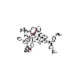 CC(C)(C)c1ccc(N2B3c4cc5c(-c6ccccc6)oc(-c6ccccc6)c5cc4N(c4ccc(C(C)(C)C)cc4-c4ccccc4)c4cc5c(c(c43)-c3cc4c(cc32)sc2cc(N(c3ccc(C(C)(C)C)cc3)c3ccc(C(C)(C)C)cc3)ccc24)C(C)(C)c2ccccc2-5)cc1